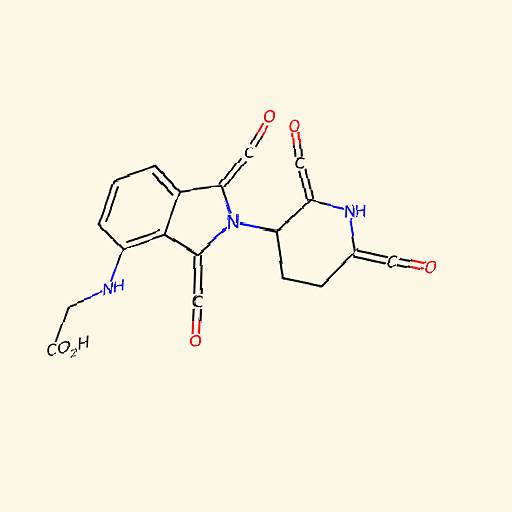 O=C=C1CCC(n2c(=C=O)c3cccc(NCC(=O)O)c3c2=C=O)C(=C=O)N1